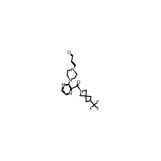 O=CC=CN1CCN(c2nccnc2C(=O)N2CC3(CC(C(F)(F)F)C3)C2)CC1